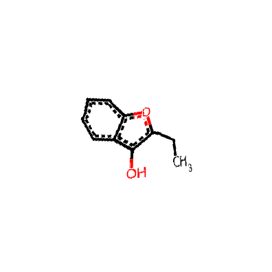 CCc1oc2ccccc2c1O